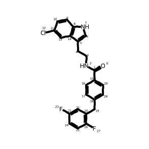 O=C(NCCc1c[nH]c2ccc(Cl)cc12)c1ccc(Cc2cc(F)ccc2F)cc1